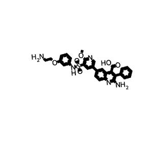 COc1ncc(-c2ccc3nc(N)c(-c4ccccc4)c(C(=O)O)c3c2)cc1S(=O)(=O)Nc1cccc(OCCN)c1